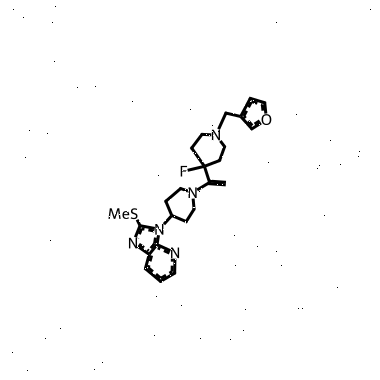 C=C(N1CCC(n2c(SC)nc3cccnc32)CC1)C1(F)CCN(Cc2ccoc2)CC1